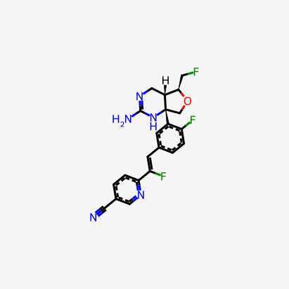 N#Cc1ccc(/C(F)=C/c2ccc(F)c([C@]34CO[C@H](CF)[C@H]3CN=C(N)N4)c2)nc1